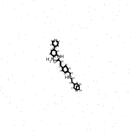 Nc1ccc(-c2ccncc2)cc1NC(=O)/C=C/c1ccc(CNCCC2CC3CC(C2)C3)cc1